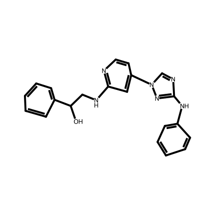 OC(CNc1cc(-n2cnc(Nc3ccccc3)n2)ccn1)c1ccccc1